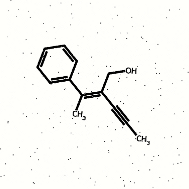 CC#CC(CO)=C(C)c1ccccc1